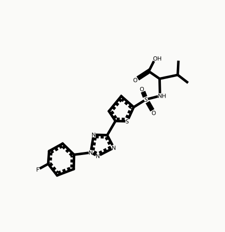 CC(C)C(NS(=O)(=O)c1ccc(-c2nnn(-c3ccc(F)cc3)n2)s1)C(=O)O